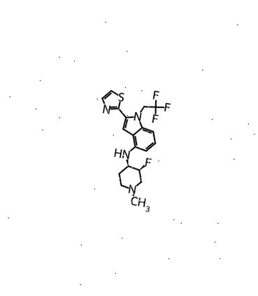 CN1CC[C@@H](Nc2cccc3c2cc(-c2nccs2)n3CC(F)(F)F)[C@@H](F)C1